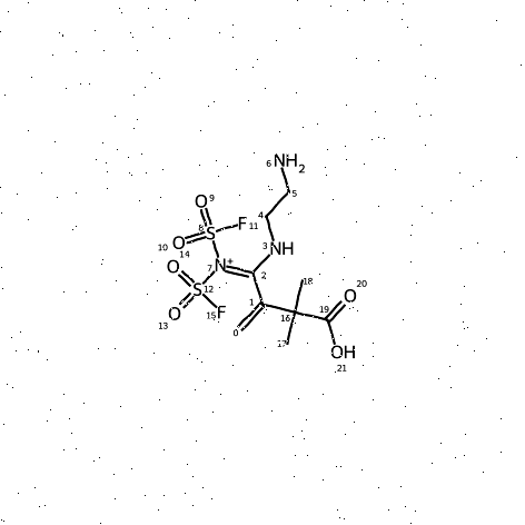 C=C(C(NCCN)=[N+](S(=O)(=O)F)S(=O)(=O)F)C(C)(C)C(=O)O